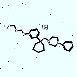 CCOCOc1cccc(C2(CN3CCN(c4ccccc4)CC3)CCCCC2)c1.Cl.Cl